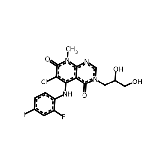 Cn1c(=O)c(Cl)c(Nc2ccc(I)cc2F)c2c(=O)n(CC(O)CO)cnc21